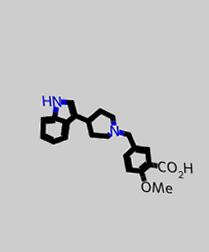 COc1ccc(CN2CCC(c3c[nH]c4ccccc34)CC2)cc1C(=O)O